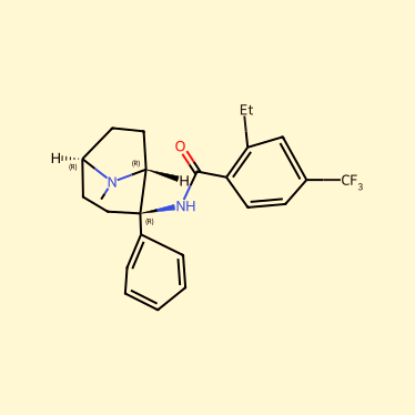 CCc1cc(C(F)(F)F)ccc1C(=O)N[C@@]1(c2ccccc2)CC[C@H]2CC[C@H]1N2C